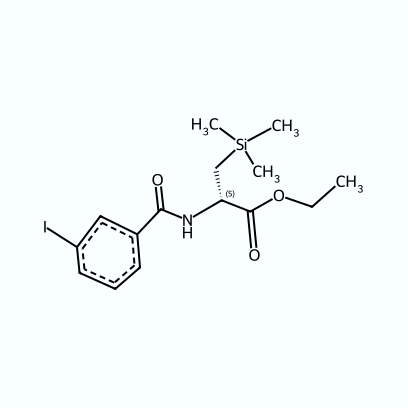 CCOC(=O)[C@@H](C[Si](C)(C)C)NC(=O)c1cccc(I)c1